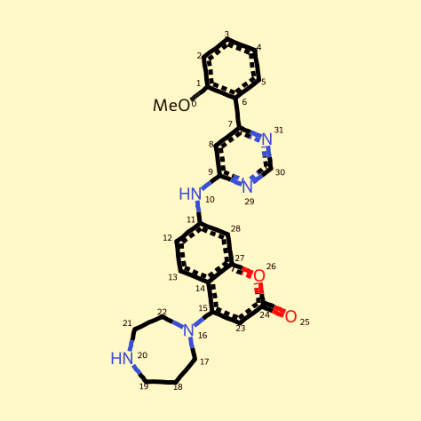 COc1ccccc1-c1cc(Nc2ccc3c(N4CCCNCC4)cc(=O)oc3c2)ncn1